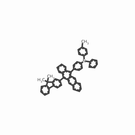 Cc1ccc(N(c2ccccc2)c2ccc(-c3c4ccccc4c(-c4ccc5c(c4)C(C)(C)c4ccccc4-5)c4cc5ccccc5cc34)cc2)cc1